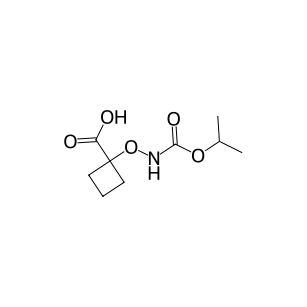 CC(C)OC(=O)NOC1(C(=O)O)CCC1